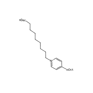 CCCCCCCCCCCCCCCCCC[n+]1ccc(CCCCCCCC)cc1